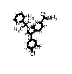 CC(C)(c1ccccn1)n1cc(-c2ccc(Cl)c(F)c2)c2ccc(C(N)=O)nc21